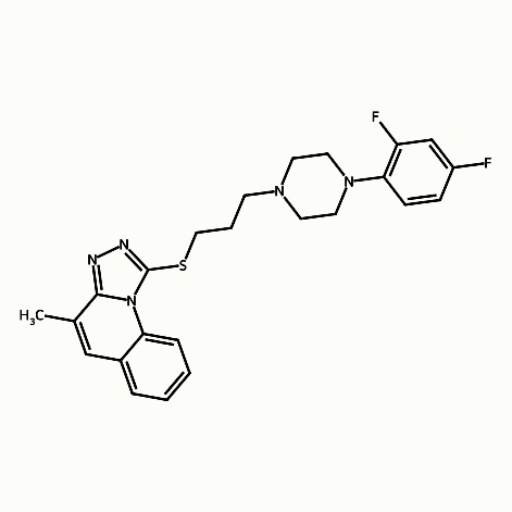 Cc1cc2ccccc2n2c(SCCCN3CCN(c4ccc(F)cc4F)CC3)nnc12